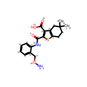 CC1(C)CCc2sc(C(=O)Nc3ccccc3CON)c(C(=O)O)c2C1